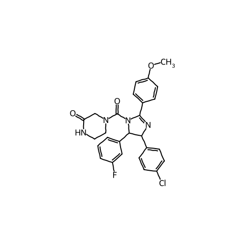 COc1ccc(C2=NC(c3ccc(Cl)cc3)C(c3cccc(F)c3)N2C(=O)N2CCNC(=O)C2)cc1